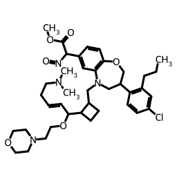 CCCc1cc(Cl)ccc1C1COc2ccc(C(N=O)C(=O)OC)cc2N(CC2CCC2C(/C=C/CCN(C)C)OCCN2CCOCC2)C1